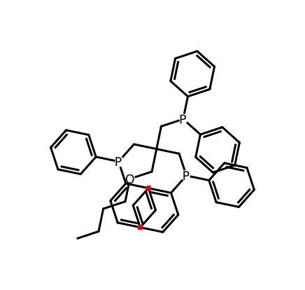 CCCCOCC(CP(c1ccccc1)c1ccccc1)(CP(c1ccccc1)c1ccccc1)CP(c1ccccc1)c1ccccc1